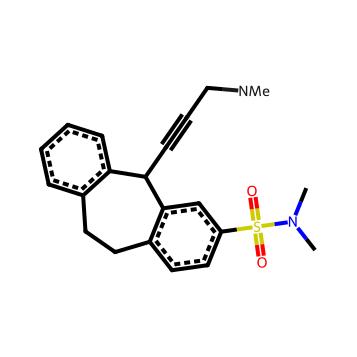 CNCC#CC1c2ccccc2CCc2ccc(S(=O)(=O)N(C)C)cc21